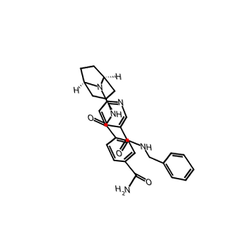 NC(=O)c1ccc(C(=O)N[C@H]2C[C@H]3CC[C@@H](C2)N3c2ccc(C(=O)NCc3ccccc3)cn2)cc1